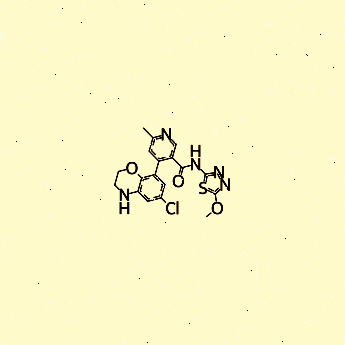 COc1nnc(NC(=O)c2cnc(C)cc2-c2cc(Cl)cc3c2OCCN3)s1